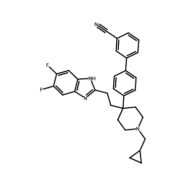 N#Cc1cccc(-c2ccc(C3(CCc4nc5cc(F)c(F)cc5[nH]4)CCN(CC4CC4)CC3)cc2)c1